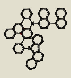 c1ccc(N(c2ccc(-c3ccccc3-n3c4ccccc4c4ccc5ccccc5c43)cc2)c2ccc(-c3cccc4ccccc34)c3ccccc23)c(-c2ccc3ccccc3c2)c1